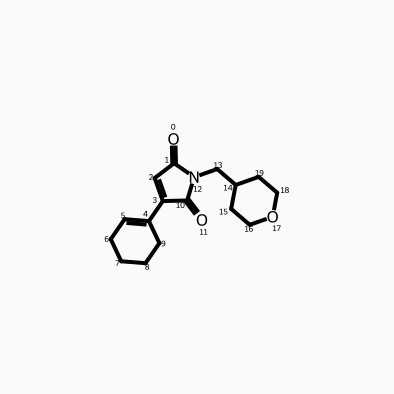 O=C1C=C(C2=CCCCC2)C(=O)N1CC1CCOCC1